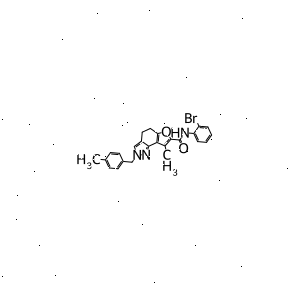 Cc1ccc(Cn2cc3c(n2)-c2c(oc(C(=O)Nc4ccccc4Br)c2C)CC3)cc1